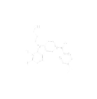 COc1cnc(C(=O)N2CCc3c(c4ccc(Cl)c(Cl)c4n3CCCO)C2)nc1